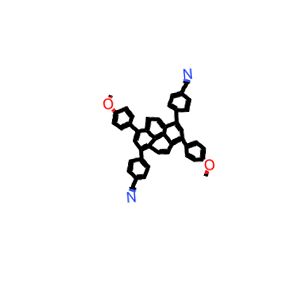 COc1ccc(-c2cc(-c3ccc(C#N)cc3)c3ccc4c(-c5ccc(OC)cc5)cc(-c5ccc(C#N)cc5)c5ccc2c3c54)cc1